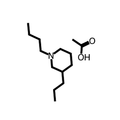 CC(=O)O.CCCCN1CCCC(CCC)C1